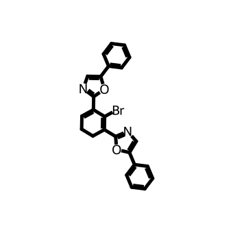 BrC1=C(c2ncc(-c3ccccc3)o2)CCC=C1c1ncc(-c2ccccc2)o1